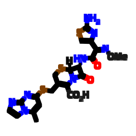 CO/N=C(\C(=O)N[C@@H]1C(=O)N2C(C(=O)O)=C(CSc3cc(C)n4ccnc4n3)CS[C@@H]12)c1csc(N)n1